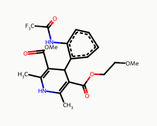 COCCOC(=O)C1=C(C)NC(C)=C(C(=O)OC)C1c1ccccc1NC(=O)C(F)(F)F